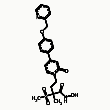 CC(CCn1ccc(-c2ccc(OCc3ccccn3)cc2)cc1=O)(C(=O)NO)S(C)(=O)=O